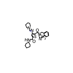 CN(Cc1ccccc1C#N)C(=O)c1sc(C(=O)NC2CCCCC2)cc1/N=C/N1CCCCC1